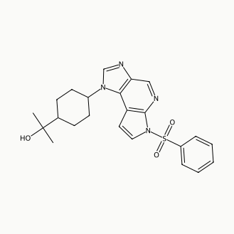 CC(C)(O)C1CCC(n2cnc3cnc4c(ccn4S(=O)(=O)c4ccccc4)c32)CC1